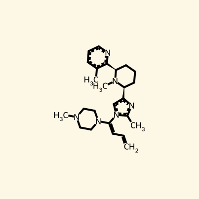 C=C/C=C(/N1CCN(C)CC1)n1cc([C@@H]2CCC[C@H](c3ncccc3C)N2C)nc1C